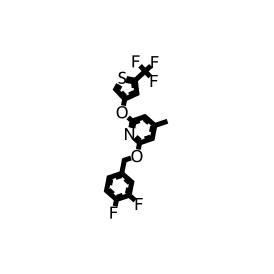 Cc1cc(OCc2ccc(F)c(F)c2)nc(Oc2csc(C(F)(F)F)c2)c1